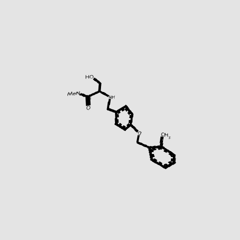 CNC(=O)C(CO)NCc1ccc(OCc2ccccc2C)cc1